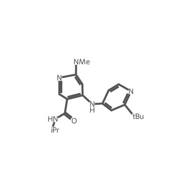 CNc1cc(Nc2ccnc(C(C)(C)C)c2)c(C(=O)NC(C)C)cn1